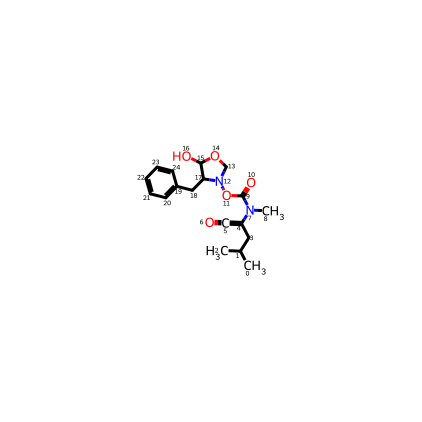 CC(C)CC(=C=O)N(C)C(=O)ON1COC(O)C1Cc1ccccc1